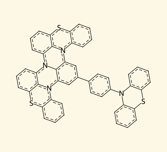 c1ccc2c(c1)Sc1ccccc1N2c1ccc(-c2cc3c4c(c2)n2c5ccccc5sc5cccc(c52)n-4c2cccc4sc5ccccc5n3c42)cc1